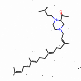 CC(=O)C1CN(C/C=C(\C)CC/C=C(\C)CC/C=C(\C)CCC=C(C)C)CCN1CCC(C)C